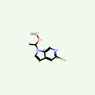 CC(OC=O)n1ccc2cc(Cl)ncc21